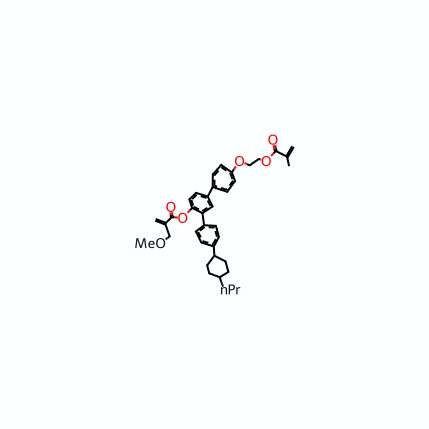 C=C(C)C(=O)OCCOc1ccc(-c2ccc(OC(=O)C(=C)COC)c(-c3ccc(C4CCC(CCC)CC4)cc3)c2)cc1